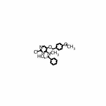 COc1ccc(COc2cnc(Cl)nc2N(C)[C@@H](CO)c2ccccc2)cc1